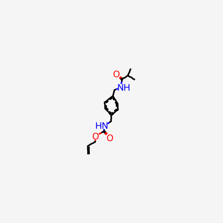 C=CCOC(=O)NCc1ccc(CNC(=O)C(C)C)cc1